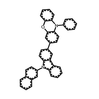 c1ccc(N2c3ccccc3Oc3cc(-c4ccc5c(c4)c4ccccc4n5-c4ccc5ccccc5c4)ccc32)cc1